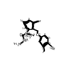 Cc1cc(OCc2c(C)cccc2N(N)C(=O)NN)ccc1Br